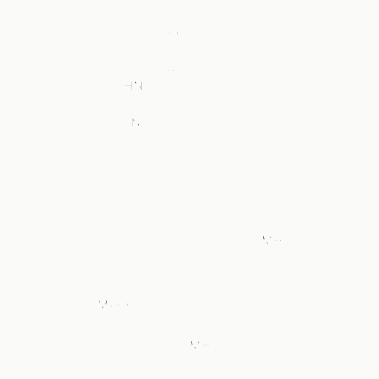 COc1cc(SC)c(OC)cc1C=Cc1ccc(=O)[nH]n1